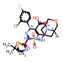 CC(C)(C)OC(=O)NS(=O)(=O)NC1C[C@H]2COC[C@@H](C1)N2CC1=C(C(=O)O)[C@H](c2ccc(F)cc2Cl)N=C(c2nccs2)N1